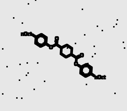 CCCCCCCCc1ccc(OC(=O)C2CCC(C(=O)Oc3ccc(CCCCCCCC)cc3)CC2)cc1